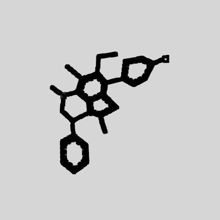 CCc1c(C)c2c3c(cc(C)n3C(c3ccccc3)CN2C)c1-c1ccc(Cl)cc1